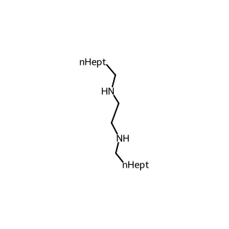 CCCCCCCCNCCNCCCCCCCC